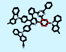 Cc1ccc2c(c1)c1ccccc1n2-c1ccc(-c2cc(-c3ccccc3-c3nc(-c4ccccc4)nc(-c4ccccc4)n3)c(-c3ccc(-n4c5ccccc5c5cc(C)ccc54)cc3)c(-c3ccc(-n4c5ccccc5c5cc(C#N)ccc54)cc3)n2)cc1